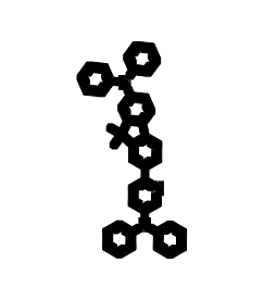 CC1(C)c2cc(-c3ccc(N(c4ccccc4)c4ccccc4)cn3)ccc2-c2ccc(N(c3ccccc3)c3ccccc3)cc21